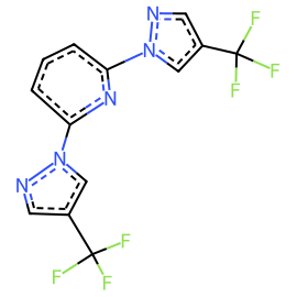 FC(F)(F)c1cnn(-c2cccc(-n3cc(C(F)(F)F)cn3)n2)c1